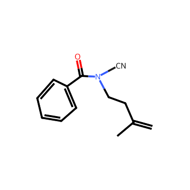 C=C(C)CCN(C#N)C(=O)c1ccccc1